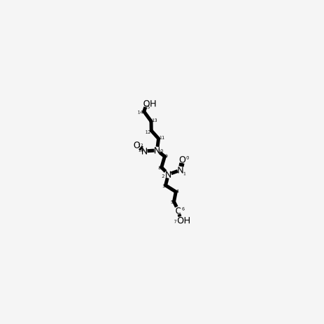 O=NN(CCCCO)CCN(CCCCO)N=O